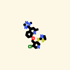 Cc1cc(-c2ncnn2C)c2cccc(OCc3c(Cl)cncc3Sc3nccs3)c2n1